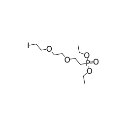 CCOP(=O)(CCOCCOCCI)OCC